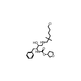 CC(C)(CCCCCl)CNC[C@H](O)[C@H](Cc1ccccc1)NC(=O)O[C@H]1CCOC1